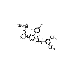 Cc1cc(F)ccc1-c1cc(N2CSCC2CO[Si](C)(C)C(C)(C)C)ncc1N(C)C(=O)C(C)(C)c1cc(C(F)(F)F)cc(C(F)(F)F)c1